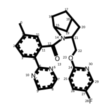 Cc1ccc(-c2ncccn2)c(C(=O)N2C3CCC(C3)CC2COc2ccc(F)cn2)c1